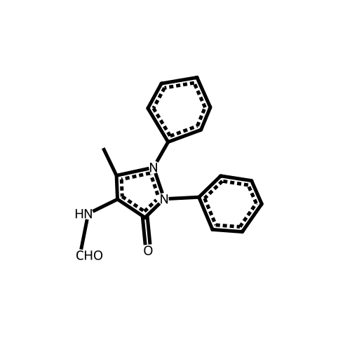 Cc1c(NC=O)c(=O)n(-c2ccccc2)n1-c1ccccc1